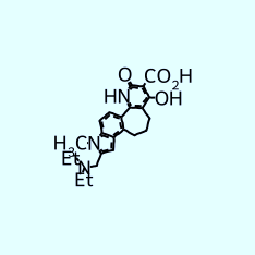 CCN(CC)Cc1cc2c3c(ccc2n1C)-c1[nH]c(=O)c(C(=O)O)c(O)c1CCC3